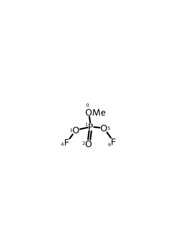 COP(=O)(OF)OF